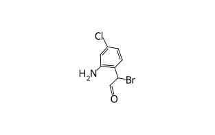 Nc1cc(Cl)ccc1C(Br)C=O